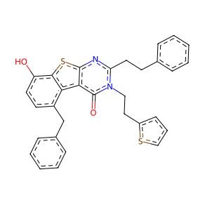 O=c1c2c(nc(CCc3ccccc3)n1CCc1cccs1)sc1c(O)ccc(Cc3ccccc3)c12